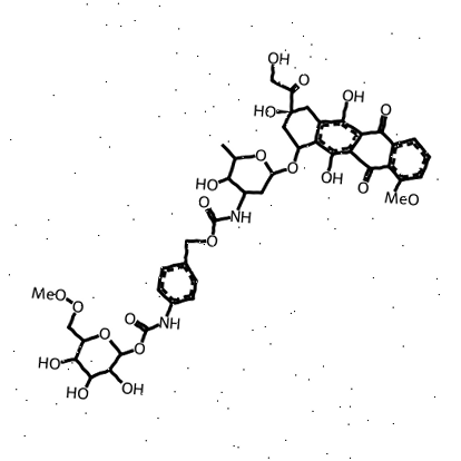 COOCC1OC(OC(=O)Nc2ccc(COC(=O)NC3CC(OC4C[C@](O)(C(=O)CO)Cc5c(O)c6c(c(O)c54)C(=O)c4c(OC)cccc4C6=O)OC(C)C3O)cc2)C(O)C(O)C1O